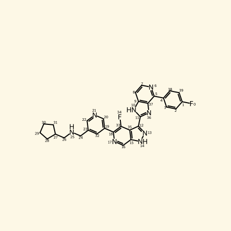 Fc1ccc(-c2nccc3[nH]c(-c4n[nH]c5cnc(-c6cncc(CNCC7CCCC7)c6)c(F)c45)nc23)cc1